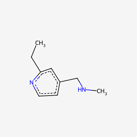 CCc1cc(CNC)ccn1